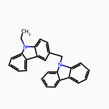 CCn1c2ccccc2c2cc(Cn3c4ccccc4c4ccccc43)ccc21